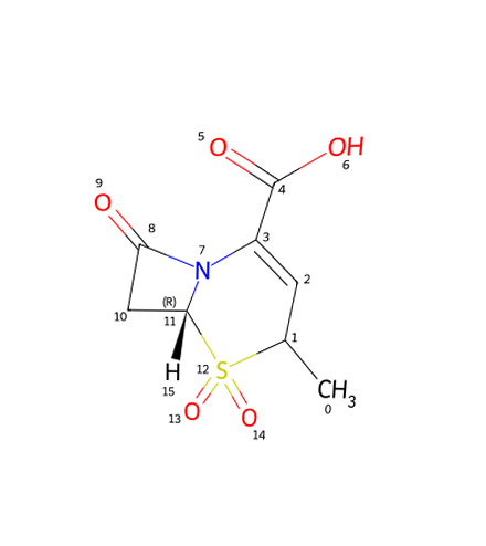 CC1C=C(C(=O)O)N2C(=O)C[C@H]2S1(=O)=O